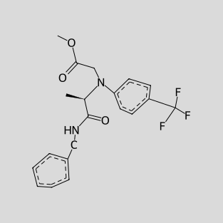 COC(=O)CN(c1ccc(C(F)(F)F)cc1)[C@H](C)C(=O)NCc1ccccc1